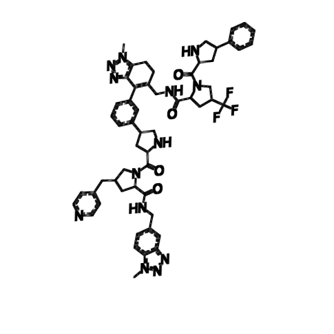 Cn1nnc2c1CCC(CNC(=O)C1CC(C(F)(F)F)CN1C(=O)C1CC(c3ccccc3)CN1)=C2c1cccc(C2CNC(C(=O)N3CC(Cc4ccncc4)CC3C(=O)NCc3ccc4c(c3)nnn4C)C2)c1